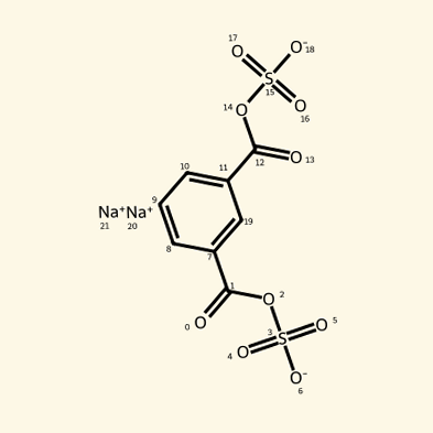 O=C(OS(=O)(=O)[O-])c1cccc(C(=O)OS(=O)(=O)[O-])c1.[Na+].[Na+]